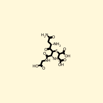 NC(=O)C[C@H](N)C(=O)C(SC(CC(=O)O)C(=O)O)[C@H](N)C(=O)NCC(=O)O